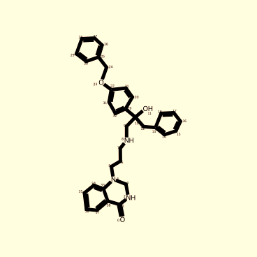 O=C1NCN(CCCNCC(O)(Cc2ccccc2)c2ccc(OCc3ccccc3)cc2)c2ccccc21